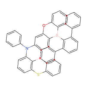 c1ccc(-c2cccc(-c3ccccc3)c2B2c3ccccc3Oc3cc4c(cc32)B2c3ccccc3Sc3cccc(c32)N4c2ccccc2)cc1